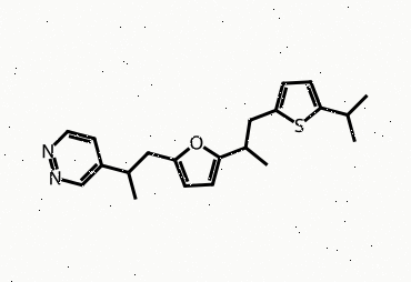 CC(C)c1ccc(CC(C)c2ccc(CC(C)c3ccnnc3)o2)s1